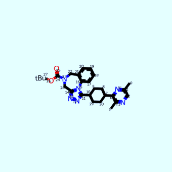 Cc1cnc(C)c(C2CCC(c3nnc4n3-c3ccccc3CN(C(=O)OC(C)(C)C)C4)CC2)n1